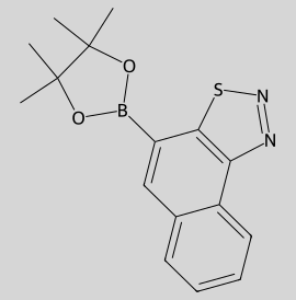 CC1(C)OB(c2cc3ccccc3c3nnsc23)OC1(C)C